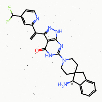 C=C(c1cc(C(F)F)ccn1)c1n[nH]c2nc(N3CCC4(CC3)Cc3ccccc3[C@H]4N)[nH]c(=O)c12